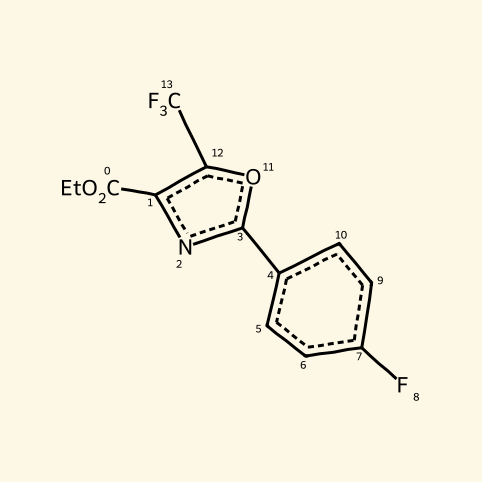 CCOC(=O)c1nc(-c2ccc(F)cc2)oc1C(F)(F)F